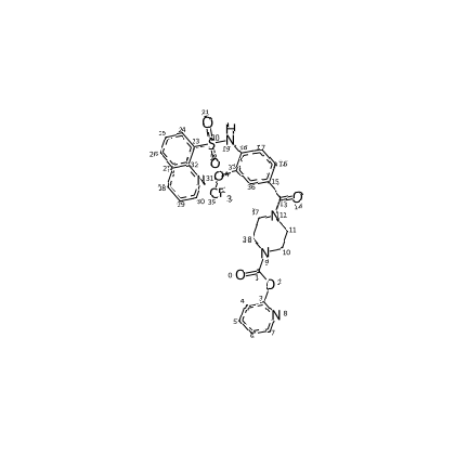 O=C(Oc1ccccn1)N1CCN(C(=O)c2ccc(NS(=O)(=O)c3cccc4cccnc34)c(OC(F)(F)F)c2)CC1